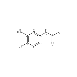 CC(=O)Nc1ccc(I)c(N)n1